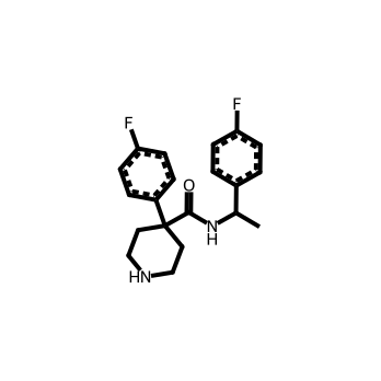 CC(NC(=O)C1(c2ccc(F)cc2)CCNCC1)c1ccc(F)cc1